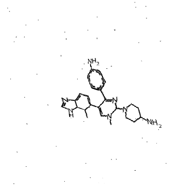 CC1C(C2=CN(C)C(N3CCC(N)CC3)N=C2c2ccc(N)cc2)=CC=C2N=CNC21